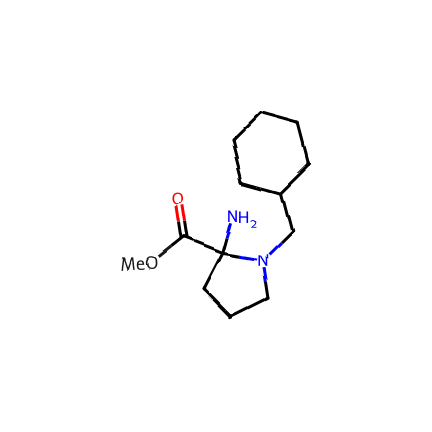 COC(=O)C1(N)CCCN1CC1CCCCC1